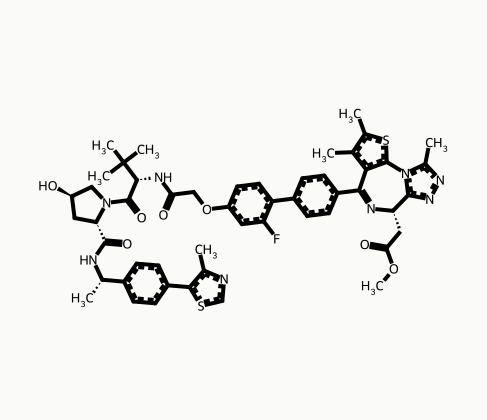 COC(=O)C[C@@H]1N=C(c2ccc(-c3ccc(OCC(=O)N[C@H](C(=O)N4C[C@H](O)C[C@H]4C(=O)N[C@@H](C)c4ccc(-c5scnc5C)cc4)C(C)(C)C)cc3F)cc2)c2c(sc(C)c2C)-n2c(C)nnc21